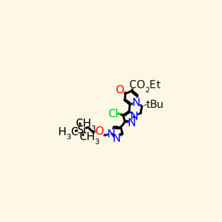 CCOC(=O)c1cn2c(cc1=O)-c1c(Cl)c(-c3cnn(COCC[Si](C)(C)C)c3)nn1C[C@H]2C(C)(C)C